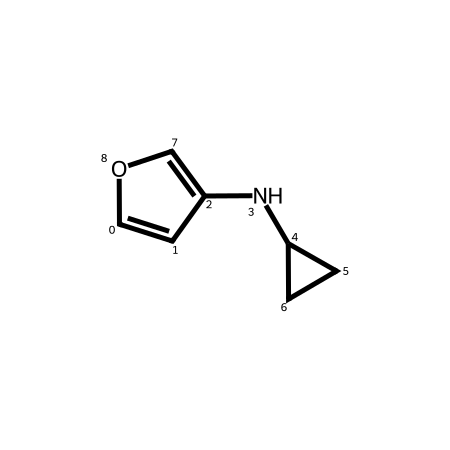 c1cc(NC2CC2)co1